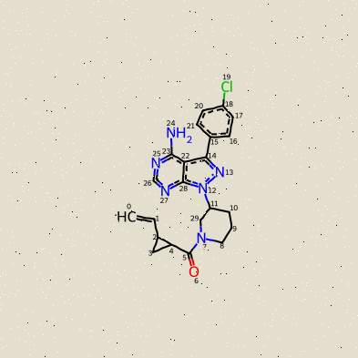 [CH]=CC1CC1C(=O)N1CCCC(n2nc(-c3ccc(Cl)cc3)c3c(N)ncnc32)C1